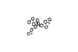 CC1(C)c2ccccc2-c2ccc(-c3ccc(N(c4ccc(-c5ccccc5-c5cccc6c5C(C)(C)c5ccccc5-6)cc4)c4ccccc4-c4ccccc4-c4ccccc4-c4ccccc4)cc3)cc21